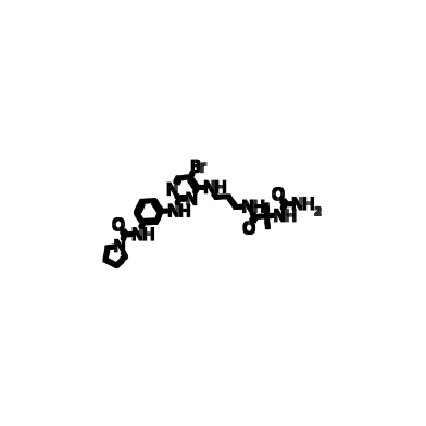 CC(C)(NC(N)=O)C(=O)NCCCNc1nc(Nc2cccc(NC(=O)N3CCCC3)c2)ncc1Br